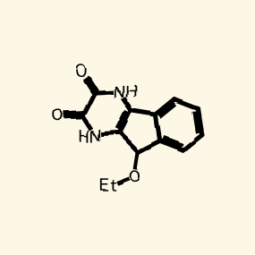 CCOC1c2ccccc2-c2[nH]c(=O)c(=O)[nH]c21